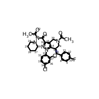 CC(=O)N1C/C(=C\c2ccc(F)cc2)c2c(c(C(=O)N(C(C)=O)N3CCCCC3)nn2-c2ccc(Cl)cc2Cl)C1